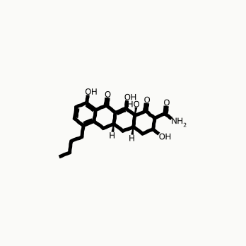 CCCCc1ccc(O)c2c1C[C@H]1C[C@H]3CC(O)C(C(N)=O)C(=O)[C@@]3(O)C(O)=C1C2=O